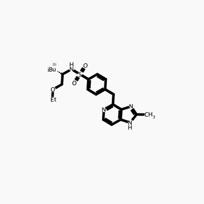 CCOCC(NS(=O)(=O)c1ccc(Cc2nccc3[nH]c(C)nc23)cc1)[C@@H](C)CC